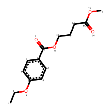 CCOc1ccc(C(=O)OCCCC(=O)OC)cc1